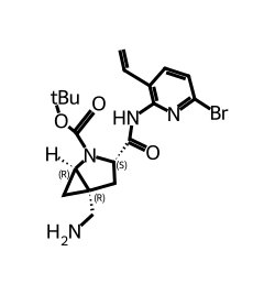 C=Cc1ccc(Br)nc1NC(=O)[C@@H]1C[C@@]2(CN)C[C@H]2N1C(=O)OC(C)(C)C